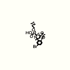 CC1(c2cc(Br)ccc2F)C=C(S(C)(=O)=O)SC(N(COCC[Si](C)(C)C)C(=O)O)=N1